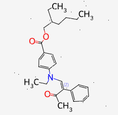 CCCCC(CC)COC(=O)c1ccc(N(/C=C(\C(C)=O)c2ccccc2)CC)cc1